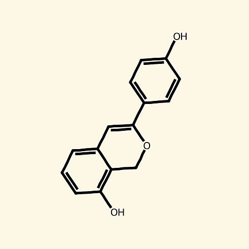 Oc1ccc(C2=Cc3cccc(O)c3CO2)cc1